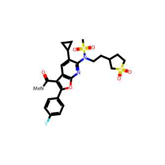 CNC(=O)c1c(-c2ccc(F)cc2)oc2nc(N(CCC3CCS(=O)(=O)C3)S(C)(=O)=O)c(C3CC3)cc12